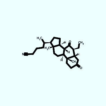 CC[C@@H]1C(=O)[C@@H]2[C@H](CC[C@]3(C)[C@@H](C(C)CCCC#N)CC[C@@H]23)[C@@]2(C)CCC(=O)C[C@@H]12